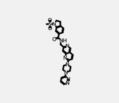 CS(=O)(=O)N1CCc2ccc(C(=O)NCc3cc4nc(N5CCN(c6cccnn6)CC5)ccc4cn3)cc21